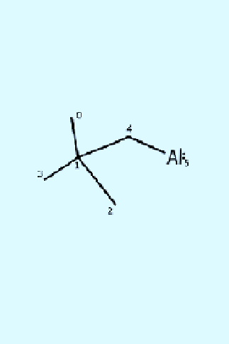 CC(C)(C)[CH2][Al]